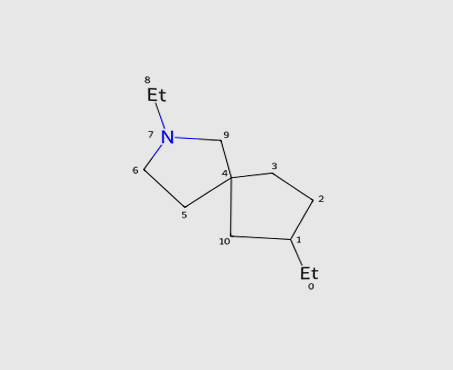 CCC1CCC2(CCN(CC)C2)C1